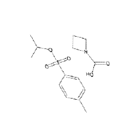 Cc1ccc(S(=O)(=O)OC(C)C)cc1.O=C(O)N1CCC1